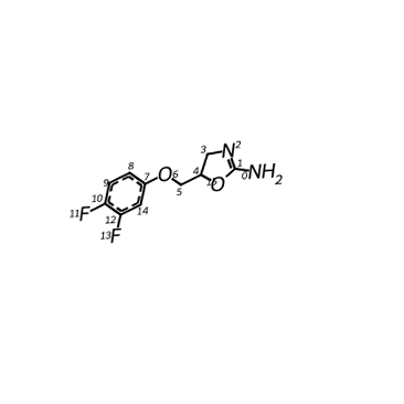 NC1=NCC(COc2ccc(F)c(F)c2)O1